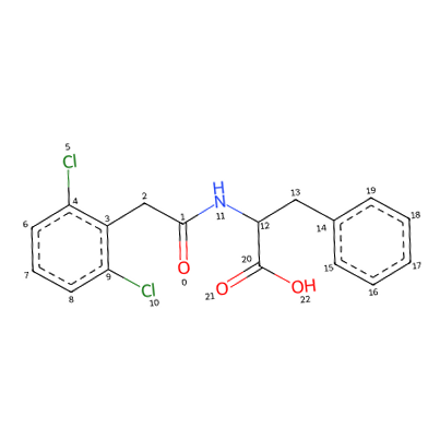 O=C(Cc1c(Cl)cccc1Cl)NC(Cc1ccccc1)C(=O)O